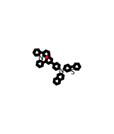 c1cc(-c2ccc(N(c3ccc4ccccc4c3)c3ccc4c(c3)sc3ccccc34)cc2)cc(-c2ccccc2-n2c3ccccc3c3ccccc32)c1